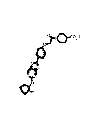 O=C(O)C1CCN(C(=O)COc2ccc(-c3nc4cnc(Oc5ccccc5F)nc4o3)cc2)CC1